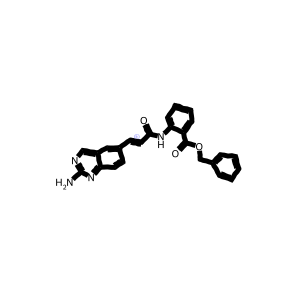 Nc1ncc2cc(/C=C/C(=O)Nc3ccccc3C(=O)OCc3ccccc3)ccc2n1